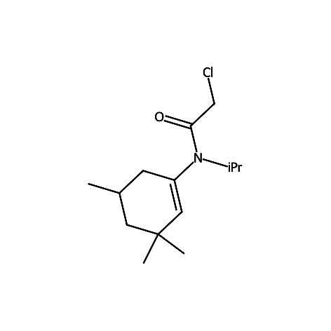 CC1CC(N(C(=O)CCl)C(C)C)=CC(C)(C)C1